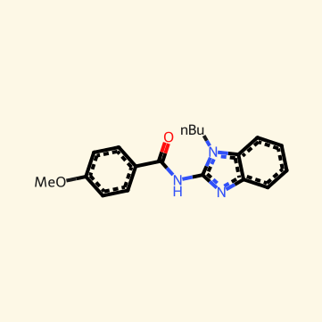 CCCCn1c(NC(=O)c2ccc(OC)cc2)nc2ccccc21